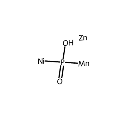 O=[P](O)([Mn])[Ni].[Zn]